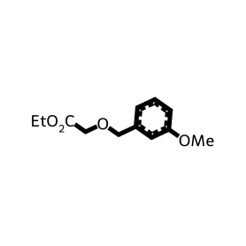 CCOC(=O)COCc1cccc(OC)c1